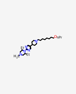 CCCOCCCCCCCCN1CCC(c2cnc(N3C(CC)CN(C)CC3CC)nc2)CC1